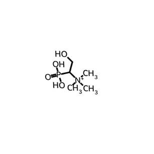 C[N+](C)(C)C(CO)P(=O)(O)O